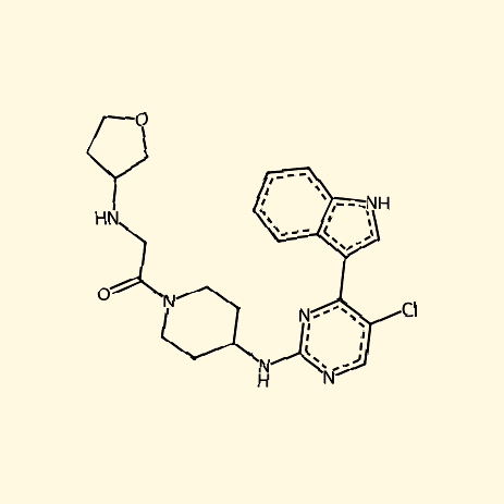 O=C(CNC1CCOC1)N1CCC(Nc2ncc(Cl)c(-c3c[nH]c4ccccc34)n2)CC1